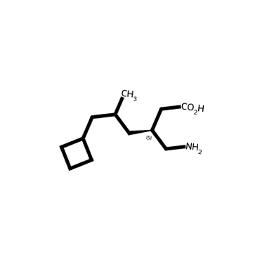 CC(CC1CCC1)C[C@H](CN)CC(=O)O